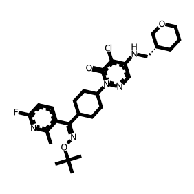 Cc1nc(F)ccc1/C(=N\OC(C)(C)C)C1CCC(n2ncc(NC[C@H]3CCCOC3)c(Cl)c2=O)CC1